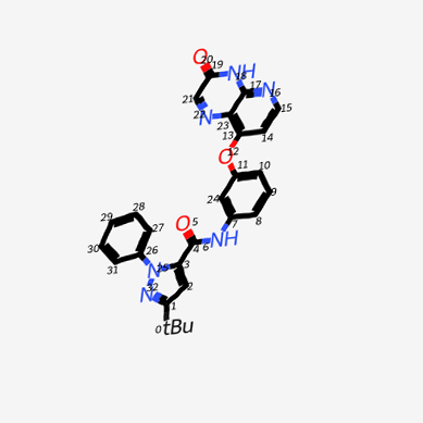 CC(C)(C)c1cc(C(=O)Nc2cccc(Oc3ccnc4[nH]c(=O)cnc34)c2)n(-c2ccccc2)n1